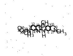 COc1cc2c(cc1Nc1ncc3ccc(NCC4(C)CCOC4)cc3n1)CN(C)CC2